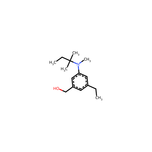 CCc1cc(CO)cc(N(C)C(C)(C)CC)c1